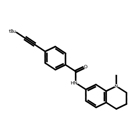 CN1CCCc2ccc(NC(=O)c3ccc(C#CC(C)(C)C)cc3)cc21